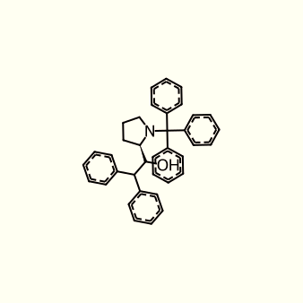 OC(C(c1ccccc1)c1ccccc1)[C@H]1CCCN1C(c1ccccc1)(c1ccccc1)c1ccccc1